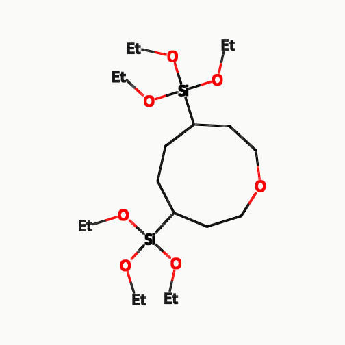 CCO[Si](OCC)(OCC)C1CCOCCC([Si](OCC)(OCC)OCC)CC1